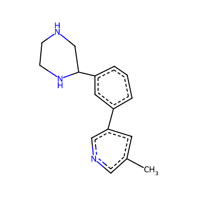 Cc1cncc(-c2cccc(C3CNCCN3)c2)c1